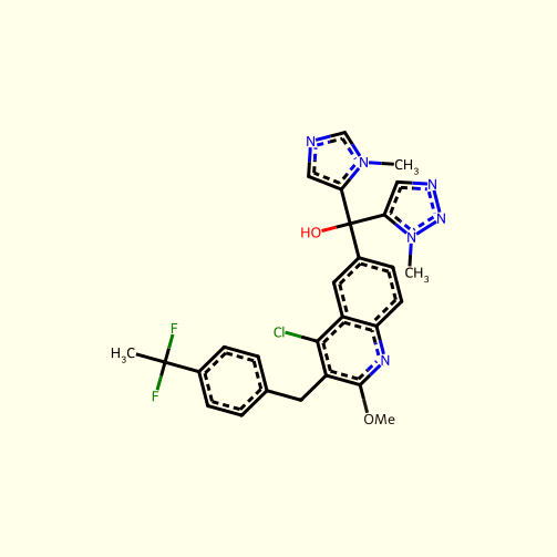 COc1nc2ccc(C(O)(c3cncn3C)c3cnnn3C)cc2c(Cl)c1Cc1ccc(C(C)(F)F)cc1